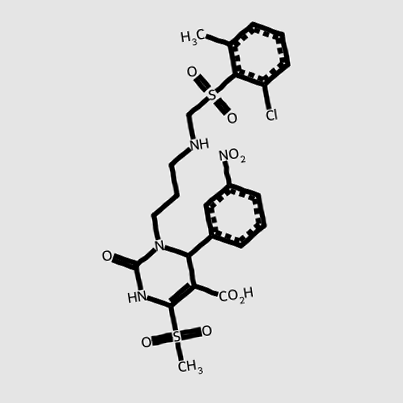 Cc1cccc(Cl)c1S(=O)(=O)CNCCCN1C(=O)NC(S(C)(=O)=O)=C(C(=O)O)C1c1cccc([N+](=O)[O-])c1